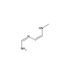 CN/C=C\N=C/N